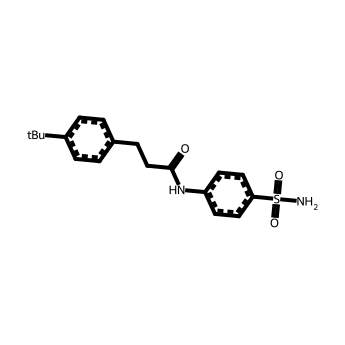 CC(C)(C)c1ccc(CCC(=O)Nc2ccc(S(N)(=O)=O)cc2)cc1